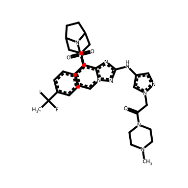 CN1CCN(C(=O)Cn2cc(Nc3nc4c(N5CC6CCC(C5)N6S(=O)(=O)Cc5ccc(C(C)(F)I)cc5)cccn4n3)cn2)CC1